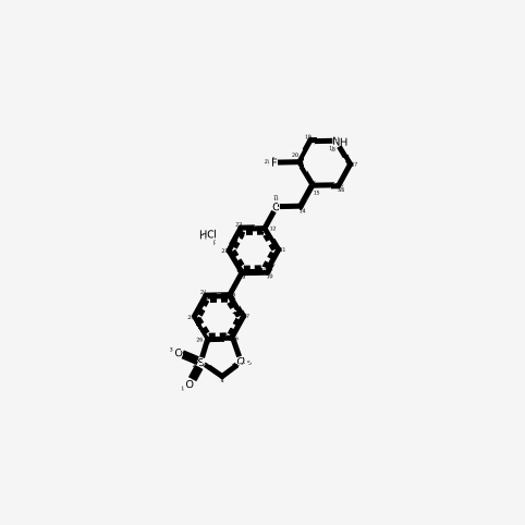 Cl.O=S1(=O)COc2cc(-c3ccc(OCC4CCNCC4F)cc3)ccc21